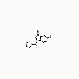 CCn1cc(C(=O)C2CCCN2)c2ccc(Br)cc21